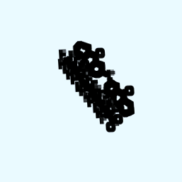 O=C([O-])C(F)(F)C(F)(F)C(F)(F)C(F)(F)C(F)(F)C(F)(F)C(F)(F)C(F)(F)C(F)(F)C(F)(F)C(F)(F)F.O=c1c2ccccc2oc2ccc([I+]c3ccc4oc5ccccc5c(=O)c4c3)cc12